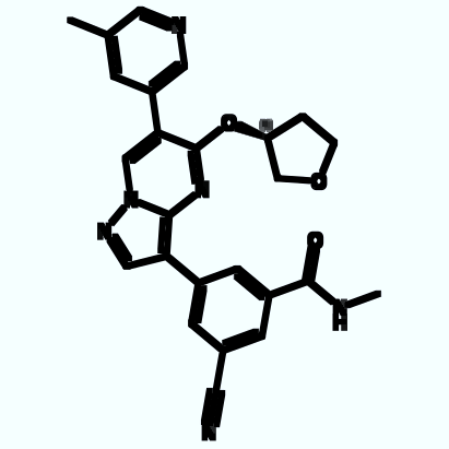 CNC(=O)c1cc(C#N)cc(-c2cnn3cc(-c4cncc(C)c4)c(O[C@H]4CCOC4)nc23)c1